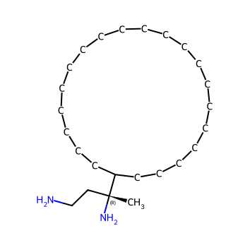 C[C@@](N)(CCN)C1CCCCCCCCCCCCCCCCCCCC1